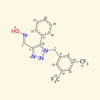 ON=Cc1nnn(Cc2cc(C(F)(F)F)cc(C(F)(F)F)c2)c1-c1ccccc1